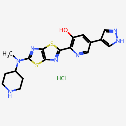 CN(c1nc2sc(-c3ncc(-c4cn[nH]c4)cc3O)nc2s1)C1CCNCC1.Cl